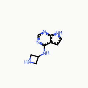 [c]1c[nH]c2ncnc(NC3CNC3)c12